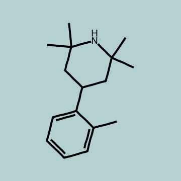 Cc1ccccc1C1CC(C)(C)NC(C)(C)C1